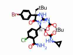 CC(C)(C)C[C@]1(c2ccc(Br)cc2)N/C(=N/C(=O)OC(C)(C)C)N([C@H](COC(=O)NC2CC2)c2ccc(Cl)c(C(N)=O)c2)C1=O